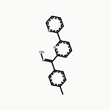 Cc1ccc(C(=NO)c2cccc(-c3ccccn3)n2)cc1